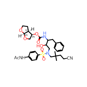 CC(=O)Nc1ccc(S(=O)(=O)N(CC(O)C(Cc2ccccc2)NC(=O)O[C@H]2CO[C@H]3OCC[C@H]32)CC(C)(C)CCC#N)cc1